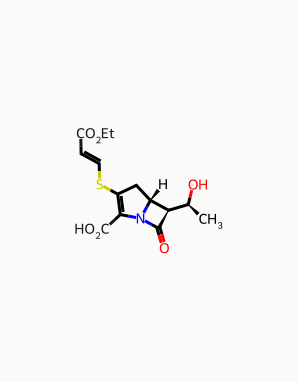 CCOC(=O)/C=C/SC1=C(C(=O)O)N2C(=O)[C@H]([C@H](C)O)[C@H]2C1